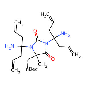 C=CCC(N)(CC=C)N1C(=O)N(C(N)(CC=C)CC=C)C(C)(CCCCCCCCCCC)C1=O